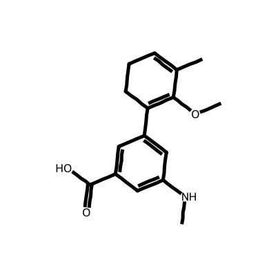 CNc1cc(C(=O)O)cc(C2=C(OC)C(C)=CCC2)c1